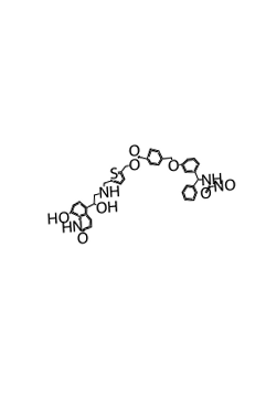 O=NC(=O)NC(c1ccccc1)c1cccc(OCc2ccc(C(=O)OCc3ccc(CNCC(O)c4ccc(O)c5[nH]c(=O)ccc45)s3)cc2)c1